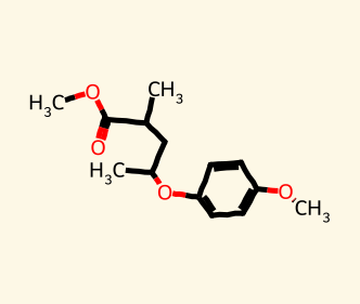 COC(=O)C(C)CC(C)Oc1ccc(OC)cc1